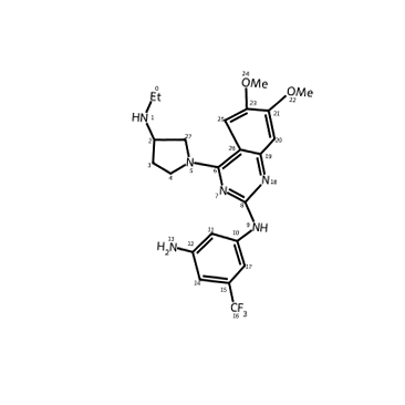 CCNC1CCN(c2nc(Nc3cc(N)cc(C(F)(F)F)c3)nc3cc(OC)c(OC)cc23)C1